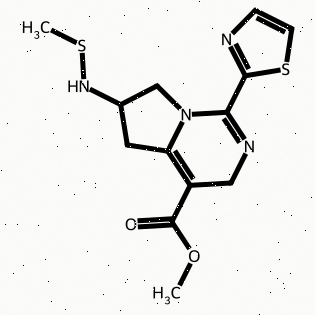 COC(=O)C1=C2CC(NSC)CN2C(c2nccs2)=NC1